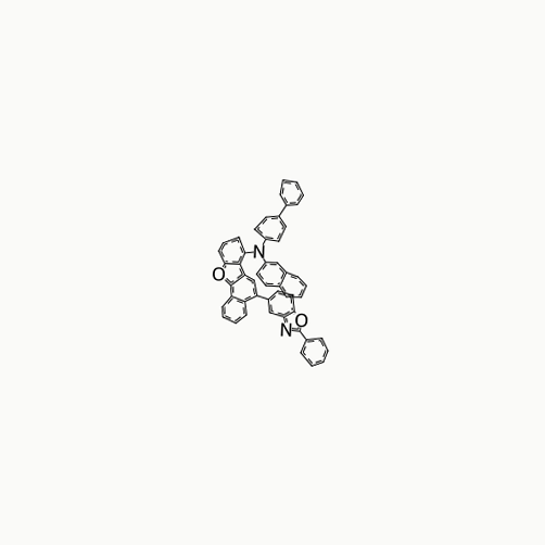 c1ccc(-c2ccc(N(c3ccc4ccccc4c3)c3cccc4oc5c6ccccc6c(-c6ccc7oc(-c8ccccc8)nc7c6)cc5c34)cc2)cc1